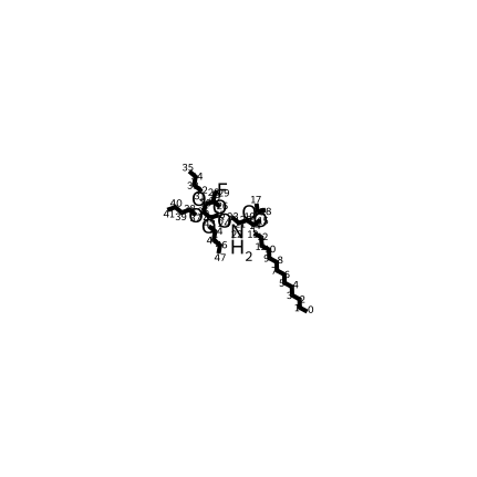 CCCCCCCCCCCCCC[C@H]1OC(C)(C)O[C@H]1[C@@H](N)CO[C@H]1OC(CF)[C@@H](OCCCC)[C@H](OCCCC)C1OCCCC